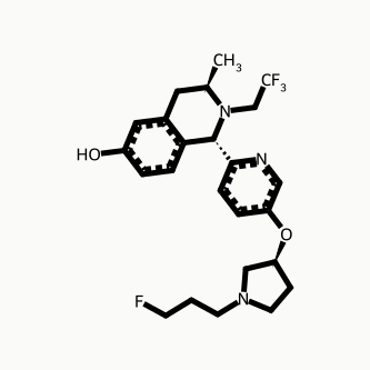 C[C@@H]1Cc2cc(O)ccc2[C@@H](c2ccc(O[C@H]3CCN(CCCF)C3)cn2)N1CC(F)(F)F